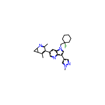 CC1=NC2CC2C(C)=C1c1cnc2c(-c3cnn(C)c3)cn(CC3(F)CCCCC3)c2c1